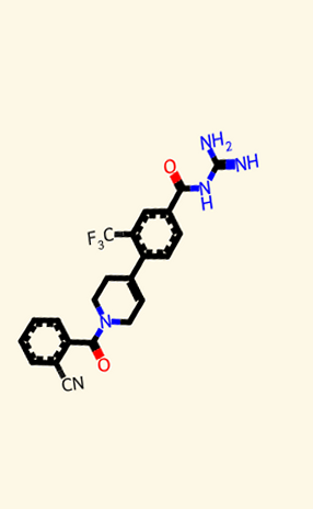 N#Cc1ccccc1C(=O)N1CC=C(c2ccc(C(=O)NC(=N)N)cc2C(F)(F)F)CC1